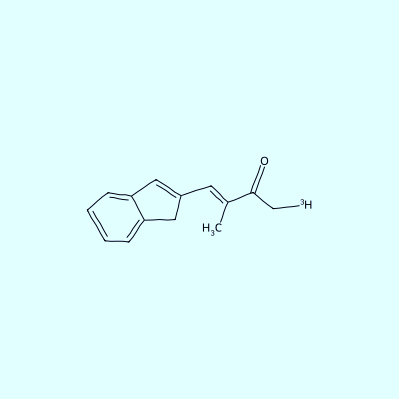 [3H]CC(=O)/C(C)=C/C1=Cc2ccccc2C1